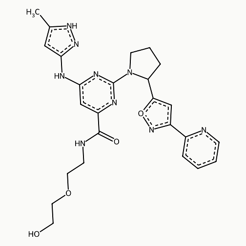 Cc1cc(Nc2cc(C(=O)NCCOCCO)nc(N3CCCC3c3cc(-c4ccccn4)no3)n2)n[nH]1